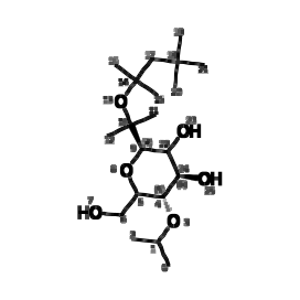 CC(C)O[C@@H]1C(CO)O[C@@H](C(C)(C)OC(C)(C)CC(C)(C)C)C(O)[C@H]1O